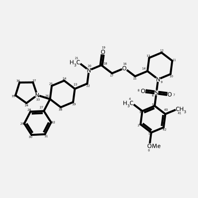 COc1cc(C)c(S(=O)(=O)N2CCCCC2COCC(=O)N(C)CC2CCC(c3ccccc3)(N3CCCC3)CC2)c(C)c1